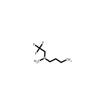 CCCCN(C)CC(F)(F)F